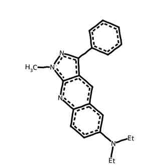 CCN(CC)c1ccc2nc3c(cc2c1)c(-c1ccccc1)nn3C